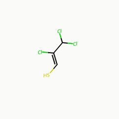 SC=C(Cl)C(Cl)Cl